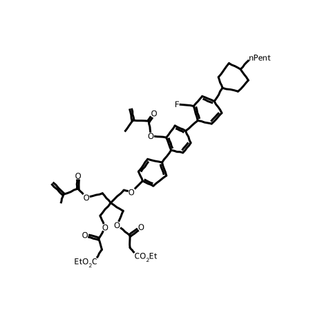 C=C(C)C(=O)OCC(COC(=O)CC(=O)OCC)(COC(=O)CC(=O)OCC)COc1ccc(-c2ccc(-c3ccc(C4CCC(CCCCC)CC4)cc3F)cc2OC(=O)C(=C)C)cc1